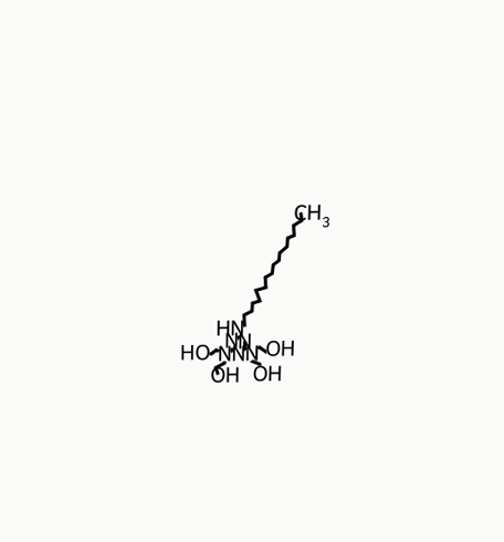 CCCCCCCCCCCCCCCCCCNc1nc(N(CCO)CCO)nc(N(CCO)CCO)n1